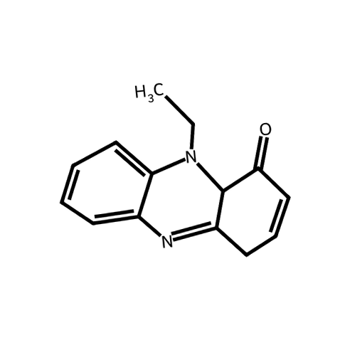 CCN1c2ccccc2N=C2CC=CC(=O)C21